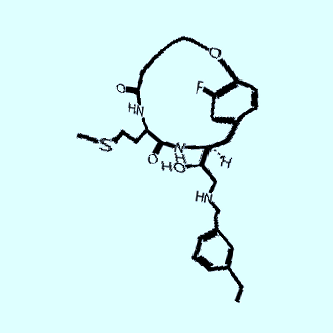 CCc1cccc(CNC[C@@H](O)[C@@H]2Cc3ccc(c(F)c3)OCCCCC(=O)NC(CCSC)C(=O)N2)c1